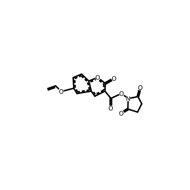 C=COc1ccc2oc(=O)c(C(=O)ON3C(=O)CCC3=O)cc2c1